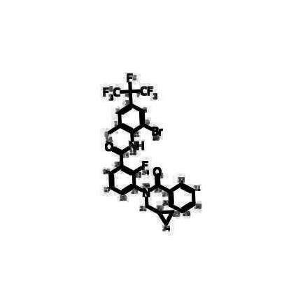 Cc1cc(C(F)(C(F)(F)F)C(F)(F)F)cc(Br)c1NC(=O)c1cccc(N(CC2CC2)C(=O)c2ccccc2)c1F